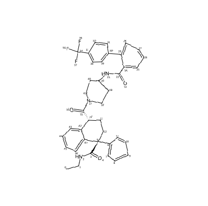 CCNC(=O)[C@]1(c2ccccc2)CC[C@@H](C(=O)N2CCC(NC(=O)c3ccccc3-c3ccc(C(F)(F)F)cc3)CC2)c2ccccc21